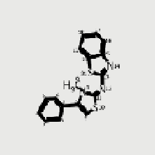 Cn1c(-c2ccccc2)cs/c1=N/c1nc2ccccc2s1